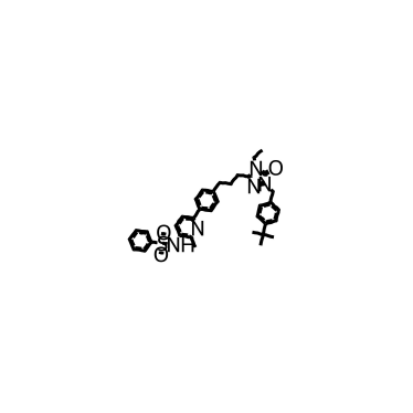 CCn1c(CCCc2ccc(-c3ccc(NS(=O)(=O)c4ccccc4)c(C)n3)cc2)nn(Cc2ccc(C(C)(C)C)cc2)c1=O